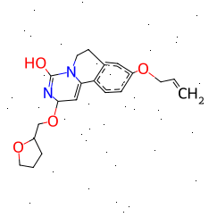 C=CCOc1ccc2c(c1)CCN1C2=CC(OCC2CCCO2)N=C1O